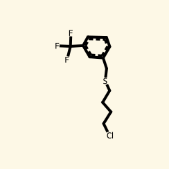 FC(F)(F)c1cccc(CSCCCCCl)c1